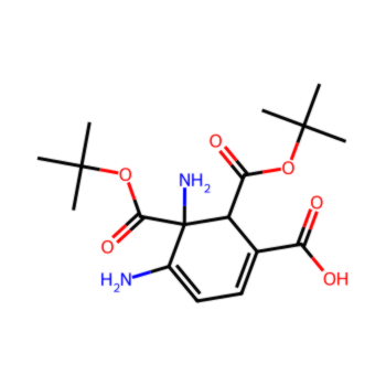 CC(C)(C)OC(=O)C1C(C(=O)O)=CC=C(N)C1(N)C(=O)OC(C)(C)C